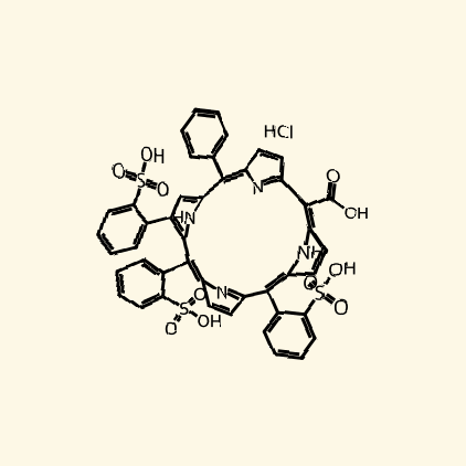 Cl.O=C(O)c1c2nc(c(-c3ccccc3)c3cc(-c4ccccc4S(=O)(=O)O)c([nH]3)c(-c3ccccc3S(=O)(=O)O)c3nc(c(-c4ccccc4S(=O)(=O)O)c4ccc1[nH]4)C=C3)C=C2